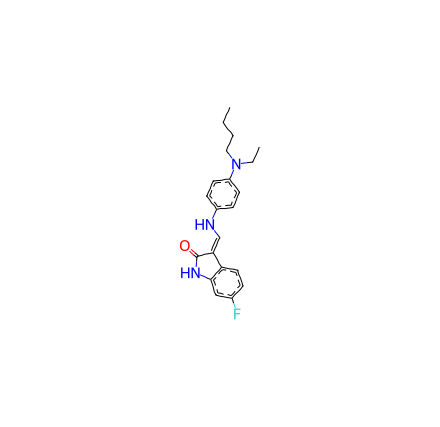 CCCCN(CC)c1ccc(NC=C2C(=O)Nc3cc(F)ccc32)cc1